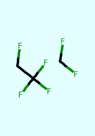 FCC(F)(F)F.FCF